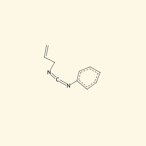 C=CCN=C=Nc1ccccc1